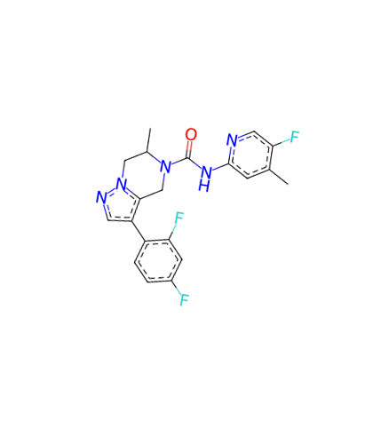 Cc1cc(NC(=O)N2Cc3c(-c4ccc(F)cc4F)cnn3CC2C)ncc1F